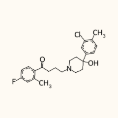 Cc1ccc(C2(O)CCN(CCCC(=O)c3ccc(F)cc3C)CC2)cc1Cl